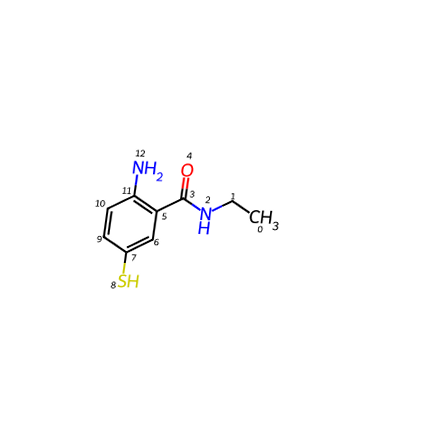 CCNC(=O)c1cc(S)ccc1N